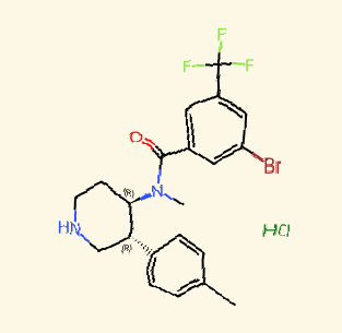 Cc1ccc([C@@H]2CNCC[C@H]2N(C)C(=O)c2cc(Br)cc(C(F)(F)F)c2)cc1.Cl